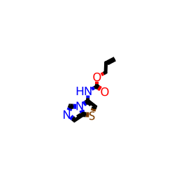 C=CCOC(=O)Nc1csc2cncn12